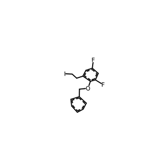 Fc1cc(F)c(OCc2ccccc2)c(CCI)c1